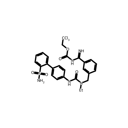 CCN(Cc1cccc(C(=N)NC(=O)OCC(Cl)(Cl)Cl)c1)C(=O)Nc1ccc(-c2ccccc2S(N)(=O)=O)cc1